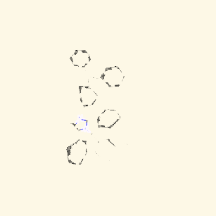 CCC=C[SiH](CC)C(c1ccccc1)(c1ccccc1)n1ccnc1.c1ccc(B(c2ccccc2)c2ccccc2)cc1